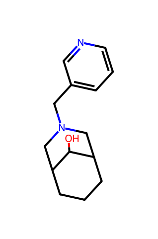 OC1C2CCCC1CN(Cc1cccnc1)C2